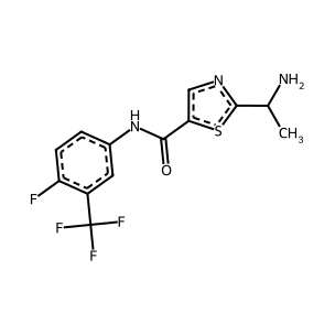 CC(N)c1ncc(C(=O)Nc2ccc(F)c(C(F)(F)F)c2)s1